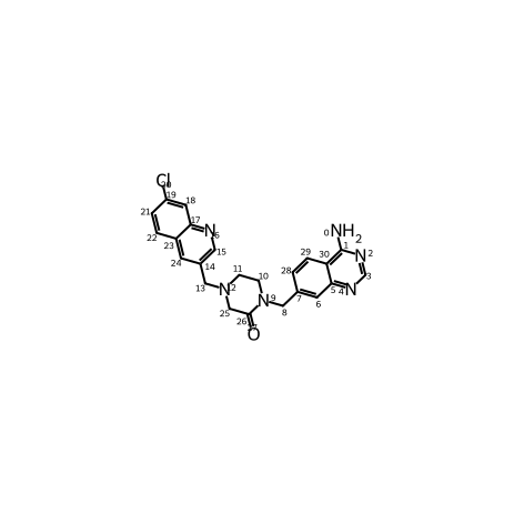 Nc1ncnc2cc(CN3CCN(Cc4cnc5cc(Cl)ccc5c4)CC3=O)ccc12